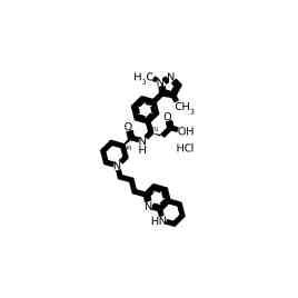 Cc1cnn(C)c1-c1cccc([C@H](CC(=O)O)NC(=O)[C@@H]2CCCN(CCCc3ccc4c(n3)NCCC4)C2)c1.Cl